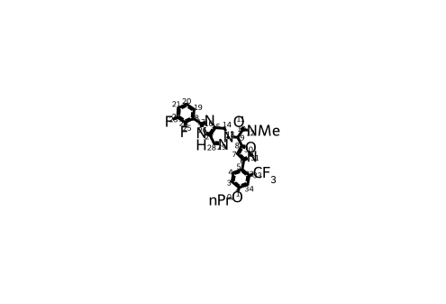 CCCOc1ccc(-c2cc(C(C(=O)NC)N3Cc4nc(-c5cccc(F)c5F)[nH]c4C=N3)on2)c(C(F)(F)F)c1